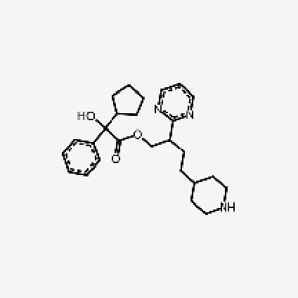 O=C(OCC(CCC1CCNCC1)c1ncccn1)C(O)(c1ccccc1)C1CCCC1